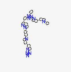 c1ccc(-c2ccc3ccc(-c4ccc5ccc(-c6nc(-c7ccccc7)nc(-c7cccc(-c8ccnc9c8ccc8ccc(-c%10ccc%11cc(-c%12ccc%13ccc(-c%14ccc%15ccc(-c%16ncncn%16)nc%15c%14)cc%13n%12)ccc%11c%10)nc89)c7)n6)nc5c4)cc3n2)cc1